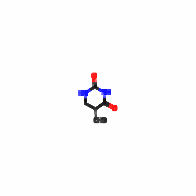 O=CC1CNC(=O)NC1=O